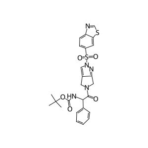 CC(C)(C)OC(=O)NC(C(=O)N1Cc2cn(S(=O)(=O)c3ccc4ncsc4c3)nc2C1)c1ccccc1